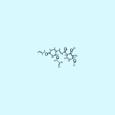 C=CCOc1ccc(C=CC(=O)c2ccc(OC)c(C)c2OC)c(OCC=C)c1